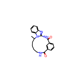 CC1CCCCNC(=O)c2cccc(c2)C(=O)Nc2nc3ccccc3n21